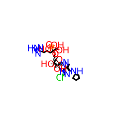 O=P(O)(O)C(CO)(CCCc1nn[nH]n1)OC[C@H]1O[C@H](n2ncc3c(NC4CCCC4)nc(Cl)nc32)[C@H](O)[C@@H]1O